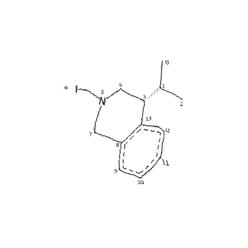 CC(C)[C@H]1CN(I)Cc2ccccc21